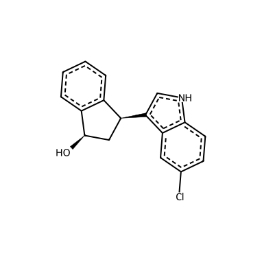 O[C@@H]1C[C@H](c2c[nH]c3ccc(Cl)cc23)c2ccccc21